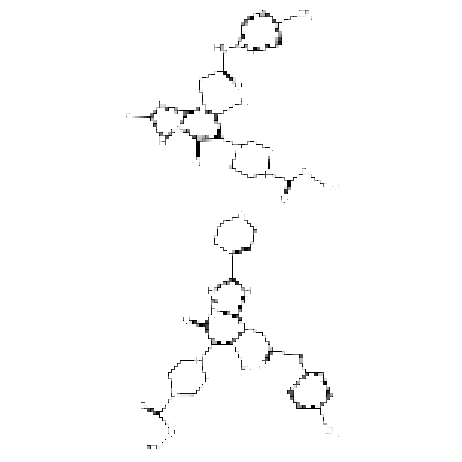 CCc1c(N2CCN(C(=O)OC(C)(C)C)CC2)c(=O)n2nc(Br)nc2n1CC(=O)Nc1ccc(C(F)(F)F)cc1.CCc1c(N2CCN(C(=O)OC(C)(C)C)CC2)c(=O)n2nc(C3=CCOCC3)nc2n1CC(=O)Nc1ccc(C(F)(F)F)cc1